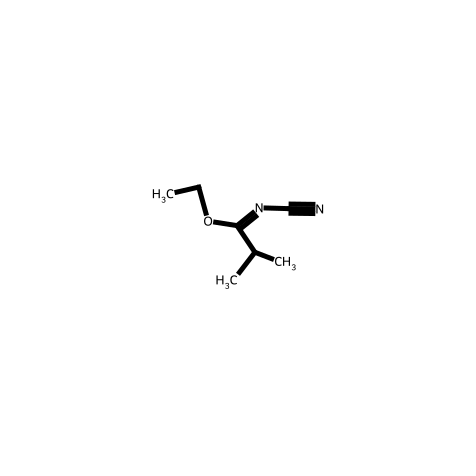 CCOC(=NC#N)C(C)C